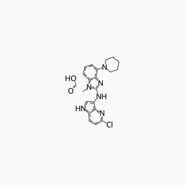 Cn1c(Nc2c[nH]c3ccc(Cl)nc23)nc2c(N3CCCCC3)cccc21.O=CO